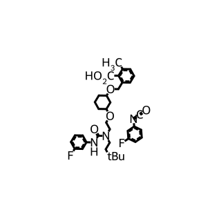 Cc1cccc(COC2CCCC(OCCN(CCC(C)(C)C)C(=O)Nc3cccc(F)c3)C2)c1C(=O)O.O=C=Nc1cccc(F)c1